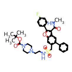 CNC(=O)c1c(-c2ccc(F)cc2)oc2cc(CS(=O)(=O)NCCN3CCN(C(=O)OC(C)(C)C)CC3)c(-c3ccccc3)cc12